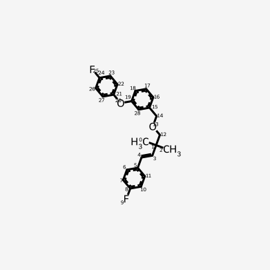 CC(C)(C=Cc1ccc(F)cc1)COCc1cccc(Oc2ccc(F)cc2)c1